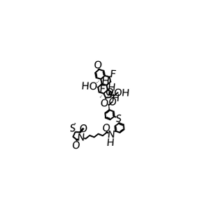 CSC1CC(=O)N(CCCCCC(=O)Nc2cccc(Sc3cccc([C@@H]4O[C@@H]5C[C@H]6[C@@H]7C[C@H](F)C8=CC(=O)C=C[C@]8(C)[C@@]7(F)[C@@H](O)C[C@]6(C)[C@]5(C(=O)CO)O4)c3)c2)C1=O